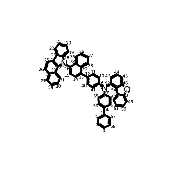 c1ccc(-c2ccc(N(c3ccc(-c4ccc(-n5c6ccccc6c6ccc7ccccc7c65)c5ccccc45)cc3)c3cccc4oc5ccccc5c34)cc2)cc1